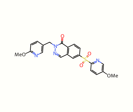 COc1ccc(S(=O)(=O)c2ccc3c(=O)n(Cc4ccc(OC)nc4)ncc3c2)nc1